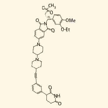 CCOc1cc([C@@H](CS(C)(=O)=O)N2C(=O)c3ccc(N4CCC(N5CCC(C#Cc6cccc(C7CCC(=O)NC7=O)c6)CC5)CC4)cc3C2=O)ccc1OC